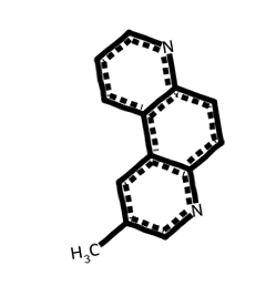 Cc1cnc2ccc3ncccc3c2c1